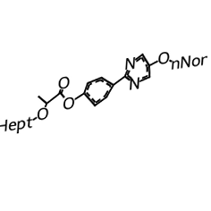 CCCCCCCCCOc1cnc(-c2ccc(OC(=O)C(C)OCCCCCCC)cc2)nc1